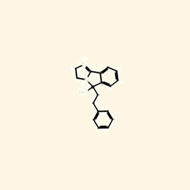 OC1(CCc2ccccc2)c2ccccc2C2=NCCN21